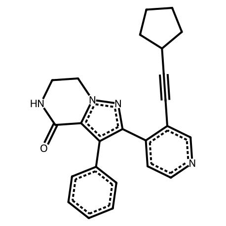 O=C1NCCn2nc(-c3ccncc3C#CC3CCCC3)c(-c3ccccc3)c21